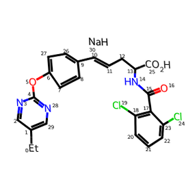 CCc1cnc(Oc2ccc(C=CCC(NC(=O)c3c(Cl)cccc3Cl)C(=O)O)cc2)nc1.[NaH]